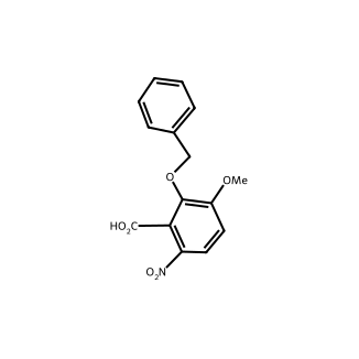 COc1ccc([N+](=O)[O-])c(C(=O)O)c1OCc1ccccc1